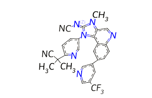 Cn1/c(=N/C#N)n(-c2ccc(C(C)(C)C#N)nc2)c2c3cc(-c4cncc(C(F)(F)F)c4)ccc3ncc21